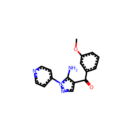 COc1cccc(C(=O)c2cnn(-c3ccncc3)c2N)c1